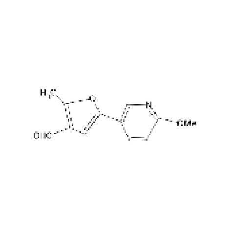 COc1ccc(-c2cc(C=O)c(C)o2)cn1